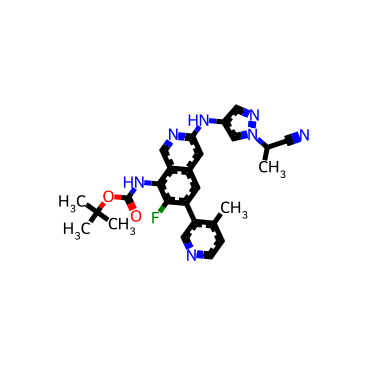 Cc1ccncc1-c1cc2cc(Nc3cnn(C(C)C#N)c3)ncc2c(NC(=O)OC(C)(C)C)c1F